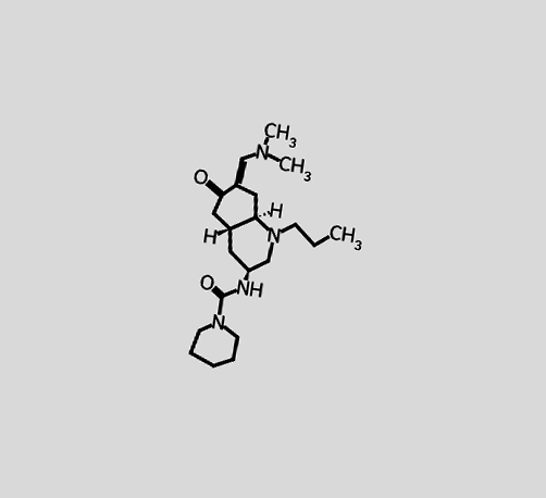 CCCN1C[C@@H](NC(=O)N2CCCCC2)C[C@@H]2CC(=O)C(=CN(C)C)C[C@H]21